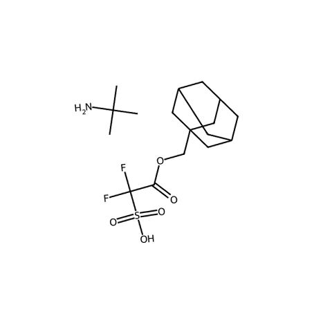 CC(C)(C)N.O=C(OCC12CC3CC(CC(C3)C1)C2)C(F)(F)S(=O)(=O)O